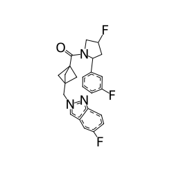 O=C(N1CC(F)CC1c1cccc(F)c1)C12CC(Cn3cc4cc(F)ccc4n3)(C1)C2